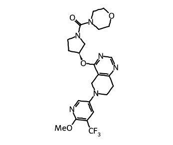 COc1ncc(N2CCc3ncnc(O[C@H]4CCN(C(=O)N5CCOCC5)C4)c3C2)cc1C(F)(F)F